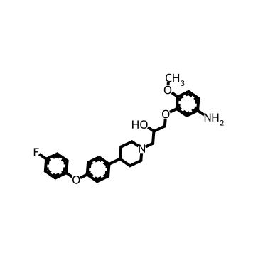 COc1ccc(N)cc1OCC(O)CN1CCC(c2ccc(Oc3ccc(F)cc3)cc2)CC1